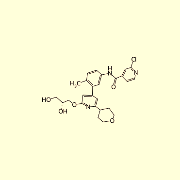 Cc1ccc(NC(=O)c2ccnc(Cl)c2)cc1-c1cc(OC[C@H](O)CO)nc(C2CCOCC2)c1